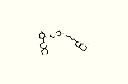 O=C(CN1CC[C@@H](OCCCCc2ccc3c(n2)NCCC3)C1)Oc1cc(F)ccc1C1CCC2(CCOCC2)CO1